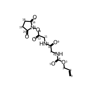 C=CCOC(=O)NCC(=O)NCC(=O)ON1C(=O)CCC1=O